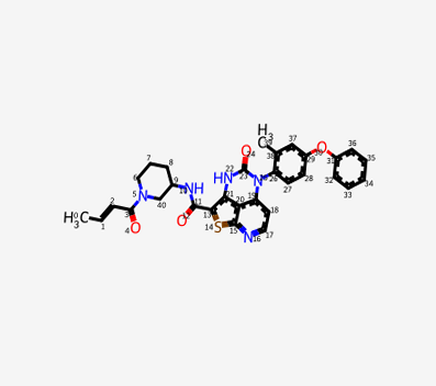 C/C=C/C(=O)N1CCCC(NC(=O)c2sc3nccc4c3c2NC(=O)N4c2ccc(Oc3ccccc3)cc2C)C1